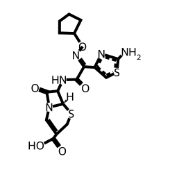 Nc1nc(C(=NOC2CCCC2)C(=O)NC2C(=O)N3C=C(C(=O)O)CS[C@H]23)cs1